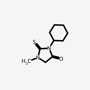 CN1CC(=O)N(C2CCCCC2)C1=S